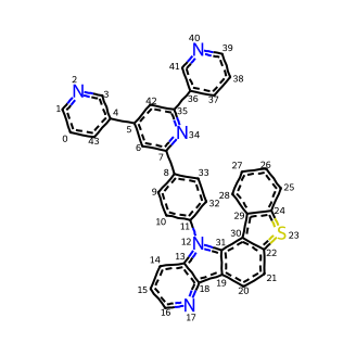 c1cncc(-c2cc(-c3ccc(-n4c5cccnc5c5ccc6sc7ccccc7c6c54)cc3)nc(-c3cccnc3)c2)c1